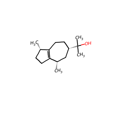 C[C@H]1CCC2=C1CC[C@H](C(C)(C)O)C[C@@H]2C